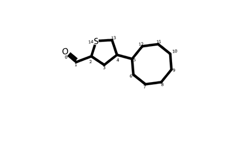 O=CC1CC(C2CCCCCCC2)CS1